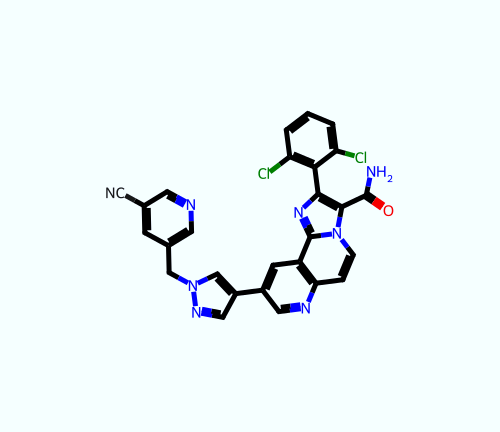 N#Cc1cncc(Cn2cc(-c3cnc4ccn5c(C(N)=O)c(-c6c(Cl)cccc6Cl)nc5c4c3)cn2)c1